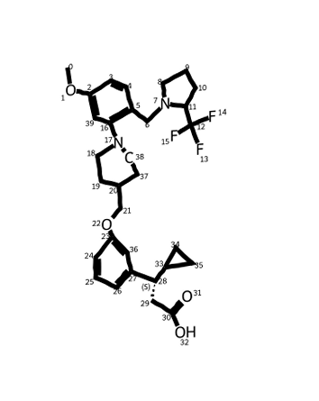 COc1ccc(CN2CCCC2C(F)(F)F)c(N2CCC(COc3cccc([C@@H](CC(=O)O)C4CC4)c3)CC2)c1